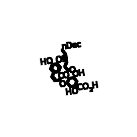 CCCCCCCCCCCCCCCC(=O)OC1C(O)CC(O)(C(=O)O)CC1OC(=O)/C=C\c1ccc(O)c(O)c1